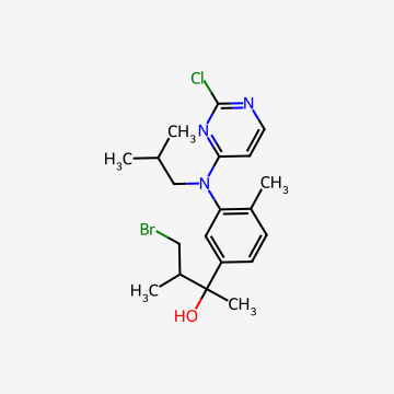 Cc1ccc(C(C)(O)C(C)CBr)cc1N(CC(C)C)c1ccnc(Cl)n1